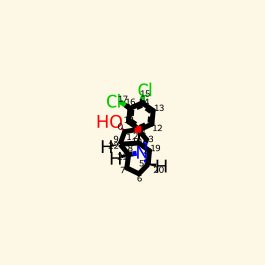 O[C@@H]1CCN2[C@H]3CC[C@@H]2[C@@H]1[C@@H](c1ccc(Cl)c(Cl)c1)C3